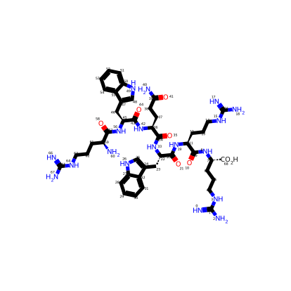 N=C(N)NCCC[C@H](NC(=O)[C@H](CCCNC(=N)N)NC(=O)[C@H](Cc1c[nH]c2ccccc12)NC(=O)[C@H](CCC(N)=O)NC(=O)[C@H](Cc1c[nH]c2ccccc12)NC(=O)[C@@H](N)CCCNC(=N)N)C(=O)O